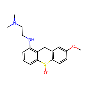 COc1ccc2c(c1)Cc1c(NCCN(C)C)cccc1[S+]2[O-]